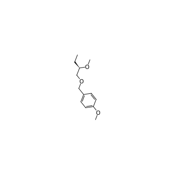 CC[C@H](COCc1ccc(OC)cc1)OC